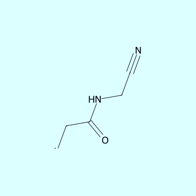 [CH2]CC(=O)NCC#N